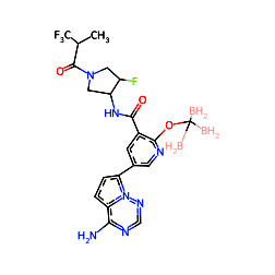 BC(B)(B)Oc1ncc(-c2ccc3c(N)ncnn23)cc1C(=O)NC1CN(C(=O)C(C)C(F)(F)F)CC1F